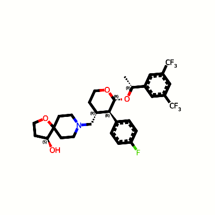 C[C@@H](O[C@H]1OCC[C@@H](CN2CCC3(CC2)OCC[C@@H]3O)[C@@H]1c1ccc(F)cc1)c1cc(C(F)(F)F)cc(C(F)(F)F)c1